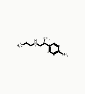 CCCNC[C@@H](C)c1ccc(N)cc1